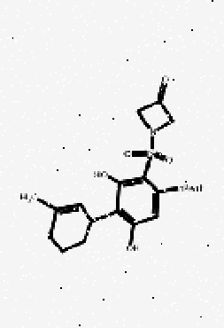 CCCCCc1cc(O)c(C2C=C(C)CCC2)c(O)c1S(=O)(=O)N1CC(=O)C1